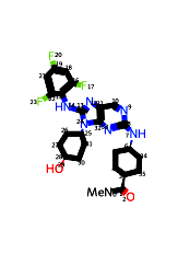 CNC(=O)[C@H]1CC[C@H](Nc2ncc3nc(Nc4c(F)cc(F)cc4F)n([C@H]4CC[C@@H](O)CC4)c3n2)CC1